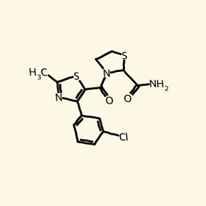 Cc1nc(-c2cccc(Cl)c2)c(C(=O)N2CCSC2C(N)=O)s1